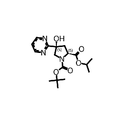 CC(C)OC(=O)[C@@H]1C[C@@](O)(c2ncccn2)CN1C(=O)OC(C)(C)C